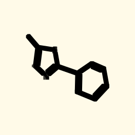 Cc1[c]nc(-c2ccccc2)s1